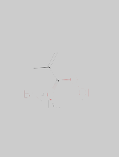 C=C(C)C(=O)OO.CC(C)(C)Br